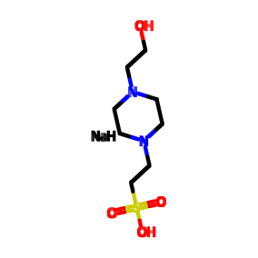 O=S(=O)(O)CCN1CCN(CCO)CC1.[NaH]